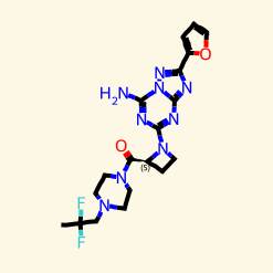 CC(F)(F)CN1CCN(C(=O)[C@@H]2CCN2c2nc(N)n3nc(-c4ccco4)nc3n2)CC1